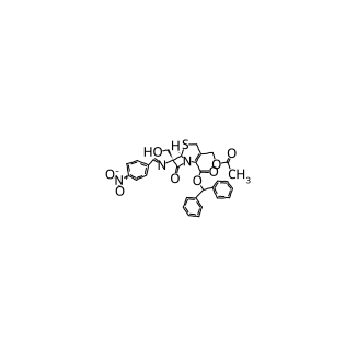 CC(=O)OCC1=C(C(=O)OC(c2ccccc2)c2ccccc2)N2C(=O)[C@](CO)(N=Cc3ccc([N+](=O)[O-])cc3)[C@H]2SC1